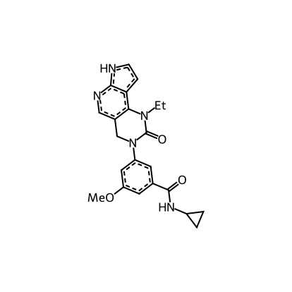 CCN1C(=O)N(c2cc(OC)cc(C(=O)NC3CC3)c2)Cc2cnc3[nH]ccc3c21